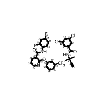 C#CC(C)(C)NC(=O)c1cc(Cl)cc(Cl)c1.O=C(Nc1ccc(F)cc1F)c1cccnc1Oc1cccc(C(F)(F)F)c1